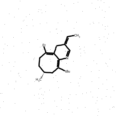 C/C=C1C=NC2=C(\C(C)(C)C)C[C@H](C)CC/C(CC)=C\2C\1